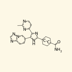 Cc1nccc(-c2nc(C34CCC(C(N)=O)(CC3)CC4)[nH]c2-c2ccc3ncnn3c2)n1